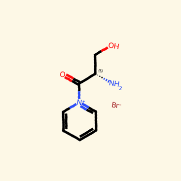 N[C@@H](CO)C(=O)[n+]1ccccc1.[Br-]